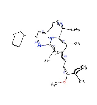 C=C(C)\C(=C/C=C(C)/C(C)=C(\NC(=C/C)/N=C(\C=C\CC)C1CCCC1)C(C)=N)OC